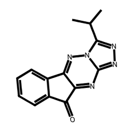 CC(C)c1nnc2nc3c(nn12)-c1ccccc1C3=O